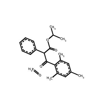 Cc1cc(C)c(C(=O)C(C(=O)OC(C)C)c2ccccc2)c(C)c1.O=[PH3]